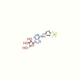 OC[C@H]1O[C@@H](n2cnc3c(NCc4ccc(SC(F)(F)F)cc4)ncnc32)[C@H](O)[C@@H]1O